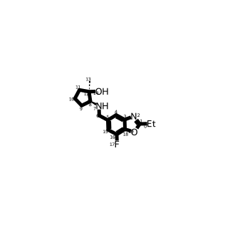 CCc1nc2cc(CN[C@H]3CCC[C@@]3(C)O)cc(F)c2o1